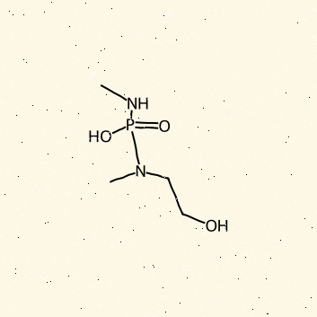 CNP(=O)(O)N(C)CCO